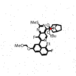 CCc1c(F)ccc2cc(OCOC)cc(-c3ncc4c(N5CC6CCC(C5)N6C(=O)OC(C)(C)C)nc(SC)nc4c3F)c12